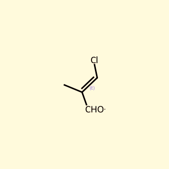 C/C([C]=O)=C\Cl